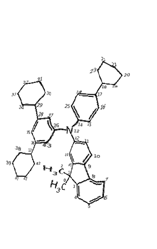 CC1(C)c2ccccc2-c2ccc(N(c3ccc(C4CCCCC4)cc3)c3cc(C4CCCCC4)cc(C4CCCCC4)c3)cc21